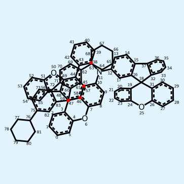 c1ccc2c(c1)Oc1ccc(N(c3ccc4c(c3)C3(c5ccccc5Oc5ccccc53)c3ccccc3-4)c3ccccc3-c3cccc4c3oc3ccccc34)cc1C21c2cc(C3CCCCC3)ccc2-c2ccc(C3CCCCC3)cc21